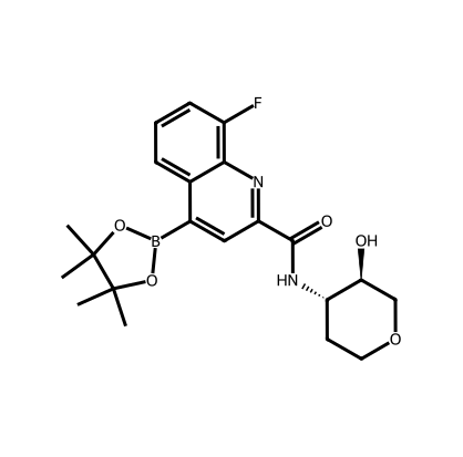 CC1(C)OB(c2cc(C(=O)N[C@H]3CCOC[C@@H]3O)nc3c(F)cccc23)OC1(C)C